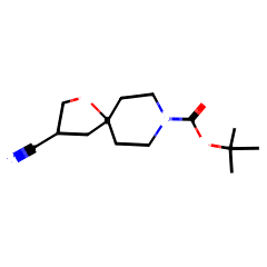 CC(C)(C)OC(=O)N1CCC2(CC1)CC(C#N)CO2